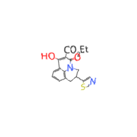 CCOC(=O)c1c(O)c2cccc3c2n(c1=O)CC(c1cncs1)C3